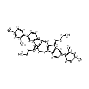 C/C1=C2C(=N/C3=C(CC1)c1ccc(-c4ccc(C#N)cc4C(F)(F)F)cc1/C3=C\CCC#N)\c1ccc(-c3ccc(C#N)cc3C(F)(F)F)cc1C\2=C/CCC#N